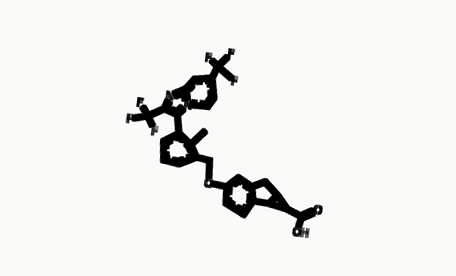 Cc1c(COc2ccc3c(c2)CC2C(C(=O)O)C32)cccc1-c1c(C(F)(F)F)nc2cc(C(F)(F)F)ccn12